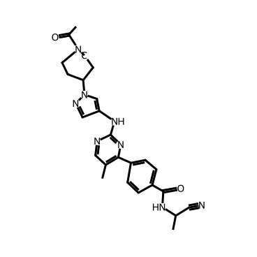 CC(=O)N1CCC(n2cc(Nc3ncc(C)c(-c4ccc(C(=O)NC(C)C#N)cc4)n3)cn2)CC1